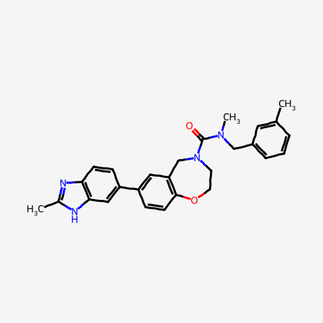 Cc1cccc(CN(C)C(=O)N2CCOc3ccc(-c4ccc5nc(C)[nH]c5c4)cc3C2)c1